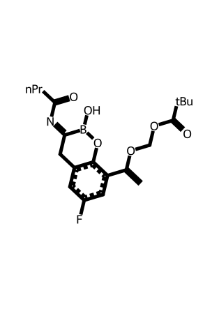 C=C(OCOC(=O)C(C)(C)C)c1cc(F)cc2c1OB(O)/C(=N\C(=O)CCC)C2